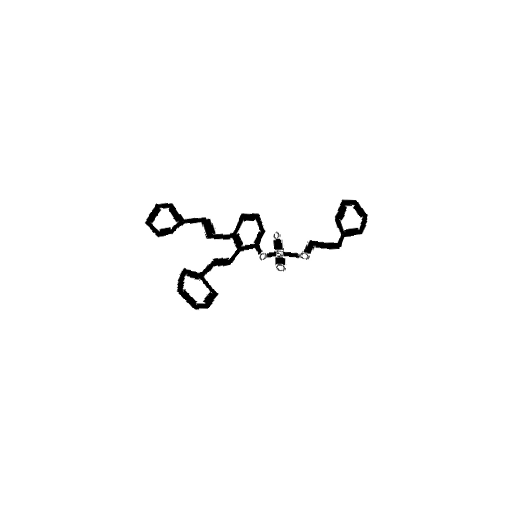 O=S(=O)(OC=Cc1ccccc1)Oc1cccc(C=Cc2ccccc2)c1C=Cc1ccccc1